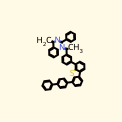 C=C(/N=C(\N=C(/C)c1cccc(-c2cccc3c2sc2c(-c4ccc(-c5ccccc5)cc4)cccc23)c1)c1ccccc1)c1ccccc1